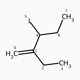 C=C(CC)C(I)CC